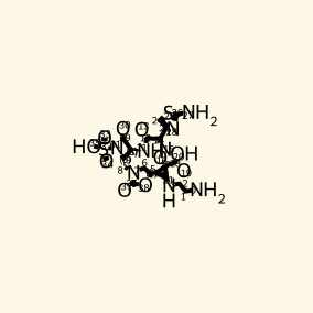 NCCNC[C@@H]1CN(C[C@H]2[C@H](NC(=O)C(=NOC3(C(=O)O)CC3)c3csc(N)n3)C(=O)N2S(=O)(=O)O)C(=O)O1